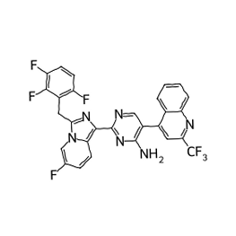 Nc1nc(-c2nc(Cc3c(F)ccc(F)c3F)n3cc(F)ccc23)ncc1-c1cc(C(F)(F)F)nc2ccccc12